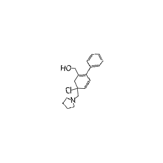 OCC1=C(c2ccccc2)C=CC(Cl)(CN2CCCC2)C1